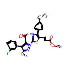 COC(=O)c1c(-c2cccc(F)c2)c(C)nn1-c1nc(-c2ccc(C(F)(F)F)cc2)c(/C=C/C(=O)OC(C)(C)C)s1